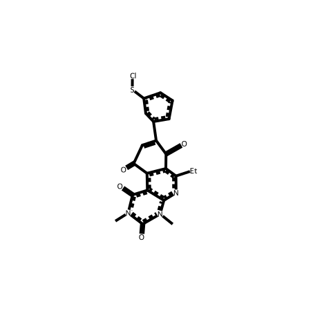 CCc1nc2c(c3c1C(=O)C(c1cccc(SCl)c1)=CC3=O)c(=O)n(C)c(=O)n2C